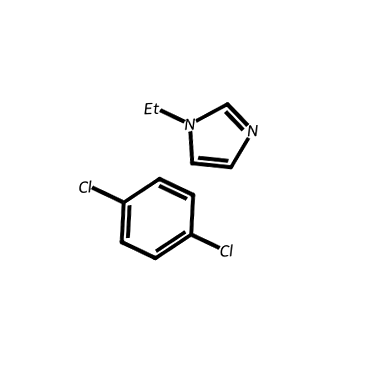 CCn1ccnc1.Clc1ccc(Cl)cc1